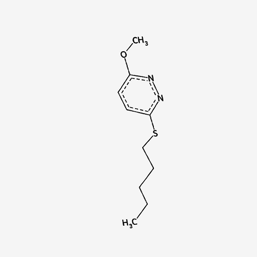 CCCCCSc1ccc(OC)nn1